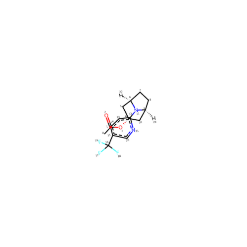 CC(=O)O[C@@H]1C[C@H]2CC[C@@H](C1)N2c1ccc(C(F)(F)F)cn1